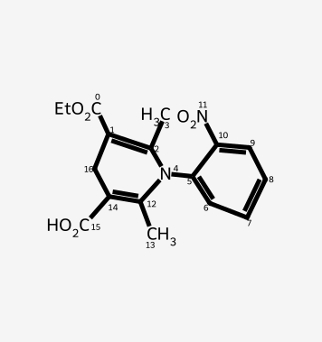 CCOC(=O)C1=C(C)N(c2ccccc2[N+](=O)[O-])C(C)=C(C(=O)O)C1